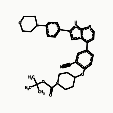 CC(C)(C)OC(=O)N1CCC(Oc2ccc(-c3ccnc4[nH]c(-c5ccc(N6CCOCC6)cc5)cc34)cc2C#N)CC1